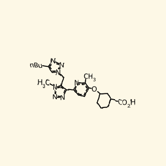 CCCCc1cn(Cc2c(-c3ccc(OC4CCCC(C(=O)O)C4)c(C)n3)nnn2C)nn1